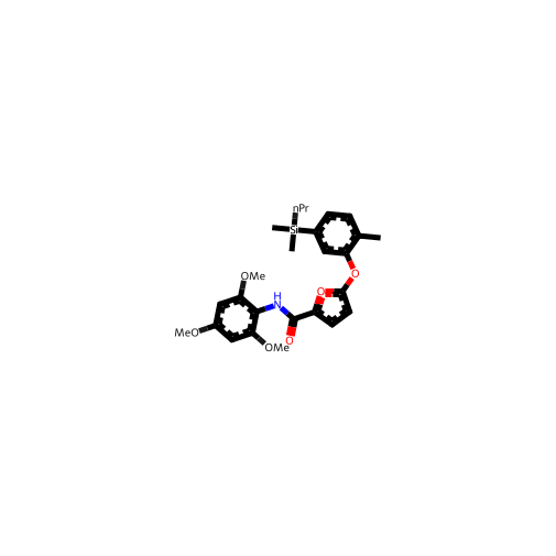 CCC[Si](C)(C)c1ccc(C)c(Oc2ccc(C(=O)Nc3c(OC)cc(OC)cc3OC)o2)c1